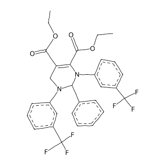 CCOC(=O)C1=C(C(=O)OCC)N(c2cccc(C(F)(F)F)c2)C(c2ccccc2)N(c2cccc(C(F)(F)F)c2)C1